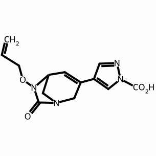 C=CCON1C(=O)N2CC(c3cnn(C(=O)O)c3)=CC1C2